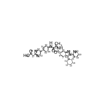 C[C@@H](NC(=O)c1ccc2c(C3CCCCC3)n(-c3ccccn3)nc2c1)C(=O)Nc1ccc(-c2cnc(CC(=O)O)nc2)cc1